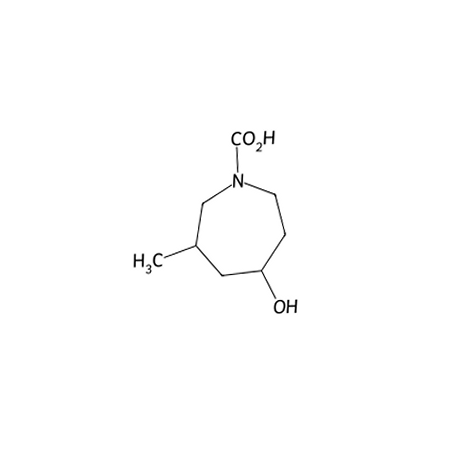 CC1CC(O)CCN(C(=O)O)C1